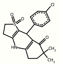 CC1(C)CCC2=C(C1=O)C(c1ccc(Cl)cc1)C1=C(CCS1(=O)=O)N2